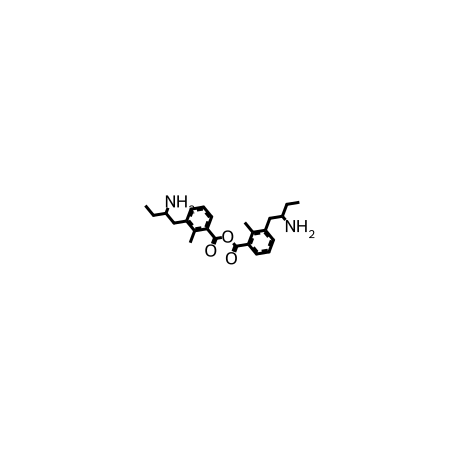 CCC(N)Cc1cccc(C(=O)OC(=O)c2cccc(CC(N)CC)c2C)c1C